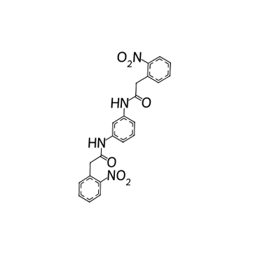 O=C(Cc1ccccc1[N+](=O)[O-])Nc1cccc(NC(=O)Cc2ccccc2[N+](=O)[O-])c1